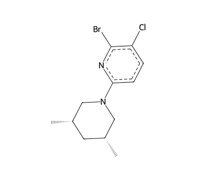 C[C@@H]1C[C@H](C)CN(c2ccc(Cl)c(Br)n2)C1